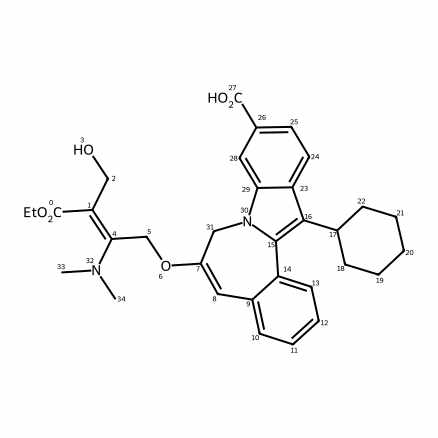 CCOC(=O)/C(CO)=C(/COC1=Cc2ccccc2-c2c(C3CCCCC3)c3ccc(C(=O)O)cc3n2C1)N(C)C